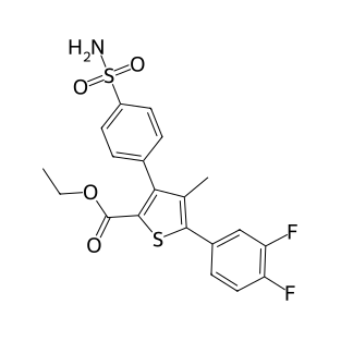 CCOC(=O)c1sc(-c2ccc(F)c(F)c2)c(C)c1-c1ccc(S(N)(=O)=O)cc1